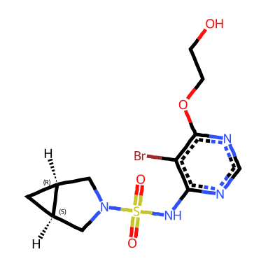 O=S(=O)(Nc1ncnc(OCCO)c1Br)N1C[C@H]2C[C@H]2C1